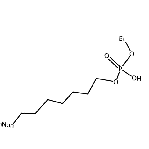 CCCCCCCCCCCCCCCCOP(=O)(O)OCC